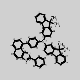 CC1(C)c2ccccc2-c2cc(N(c3ccc(-c4cccc5ccc6nc(-c7ccccc7)oc6c45)cc3)c3ccc4c(c3)C(C)(C)c3ccccc3-4)ccc21